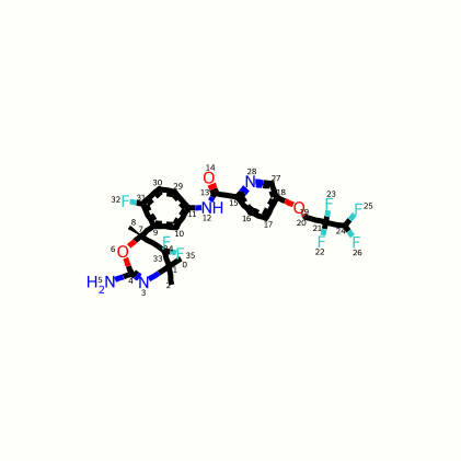 CC1(C)N=C(N)O[C@](C)(c2cc(NC(=O)c3ccc(OCC(F)(F)C(F)F)cn3)ccc2F)C1(F)F